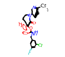 O=C(NCc1cc(F)cc(Cl)c1)O[C@]1(O)CCN(c2ccc(C(F)(F)F)nc2)C1=O